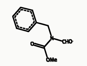 COC(=O)N([C]=O)Cc1ccccc1